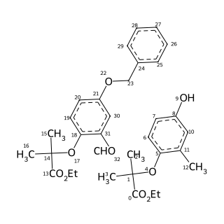 CCOC(=O)C(C)(C)Oc1ccc(O)cc1C.CCOC(=O)C(C)(C)Oc1ccc(OCc2ccccc2)cc1C=O